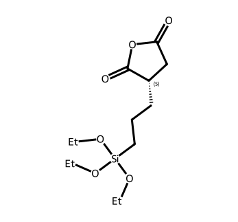 CCO[Si](CCC[C@H]1CC(=O)OC1=O)(OCC)OCC